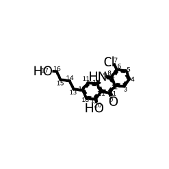 O=c1c2cccc(Cl)c2[nH]c2cc(CCCCO)cc(O)c12